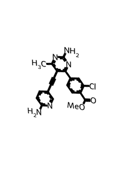 COC(=O)c1ccc(-c2nc(N)nc(C)c2C#Cc2ccc(N)nc2)cc1Cl